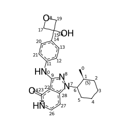 C[C@H]1CCCCC1n1nc(Nc2ccc(C3(O)COC3)cc2)c2c(=O)[nH]ccc21